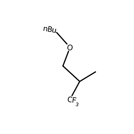 [CH2]CCCOCC(C)C(F)(F)F